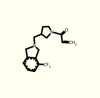 C=CC(=O)N1CCC(CN2Cc3cccc(C(F)(F)F)c3C2)C1